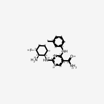 Cc1cccc(Nc2nc(N[C@@H]3CCC[C@@H](F)[C@@H]3N)ncc2C(N)=O)c1